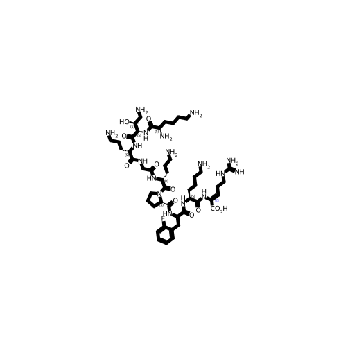 N=C(N)NCC/C=C(\NC(=O)[C@H](CCCCN)NC(=O)C(Cc1ccccc1F)NC(=O)[C@@H]1CCCN1C(=O)[C@@H](CCCN)NC(=O)CNC(=O)[C@H](CCCN)NC(=O)[C@@H](NC(=O)[C@@H](N)CCCCN)[C@@H](O)CN)C(=O)O